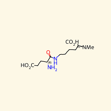 CN[C@@H](CCCCNC(=O)[C@H](N)CCC(=O)O)C(=O)O